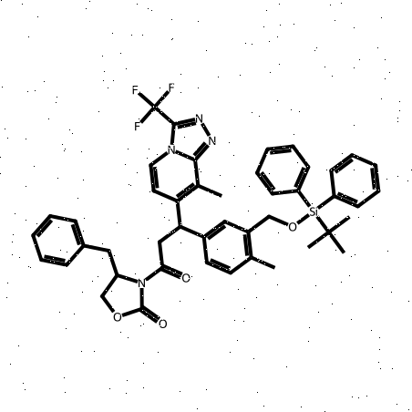 Cc1ccc(C(CC(=O)N2C(=O)OCC2Cc2ccccc2)c2ccn3c(C(F)(F)F)nnc3c2C)cc1CO[Si](c1ccccc1)(c1ccccc1)C(C)(C)C